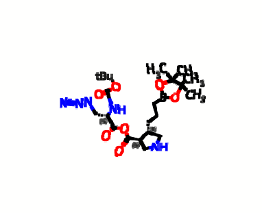 CC(C)(C)OC(=O)N[C@@H](CN=[N+]=[N-])C(=O)OC(=O)[C@@H]1CNC[C@H]1CCCB1OC(C)(C)C(C)(C)O1